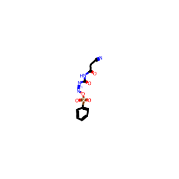 N#CCC(=O)NC(=O)/N=N\OS(=O)(=O)c1ccccc1